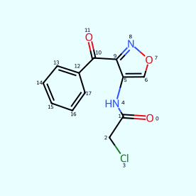 O=C(CCl)Nc1conc1C(=O)c1ccccc1